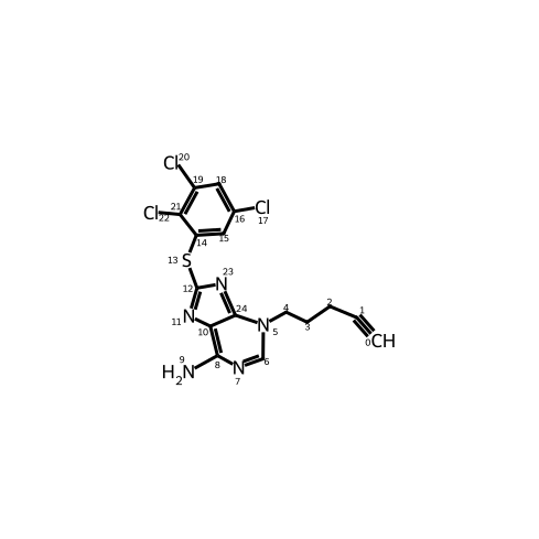 C#CCCCn1cnc(N)c2nc(Sc3cc(Cl)cc(Cl)c3Cl)nc1-2